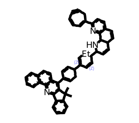 CC/C=C(\C=C/CC1C=CC2C=Cc3ccc(C4=CC=CC#CC4)nc3C2N1)C1C=CC(c2c3c(nc4c2ccc2ccccc24)-c2ccccc2C3(C)C)=CC1